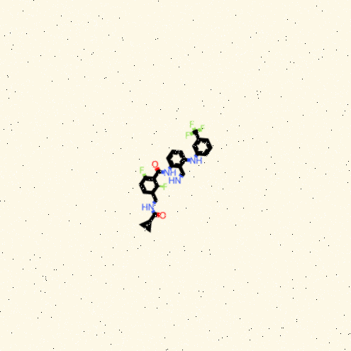 N=Cc1c(NC(=O)C2=C(F)C=CC(CNC(=O)C3CC3)[C@@H]2F)cccc1Nc1cccc(C(F)(F)F)c1